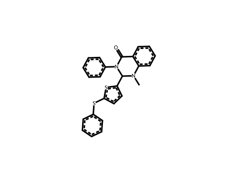 CN1c2ccccc2C(=O)N(c2ccccc2)C1c1ccc(Sc2ccccc2)s1